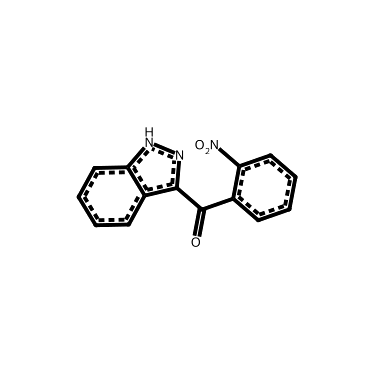 O=C(c1ccccc1[N+](=O)[O-])c1n[nH]c2ccccc12